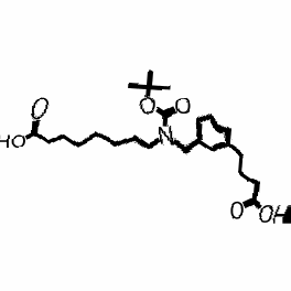 CC(C)(C)OC(=O)N(CCCCCCCC(=O)O)Cc1cccc(CCCC(=O)O)c1